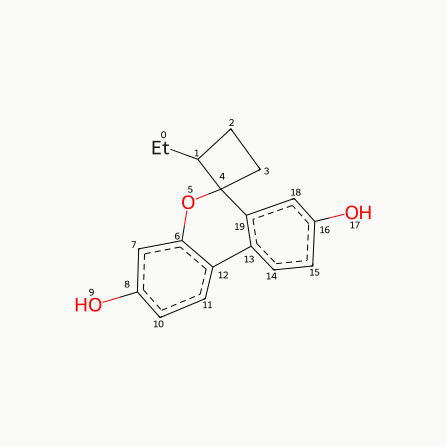 CCC1CCC12Oc1cc(O)ccc1-c1ccc(O)cc12